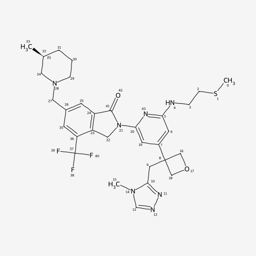 CSCCNc1cc(C2(Cc3nncn3C)COC2)cc(N2Cc3c(cc(CN4CCC[C@H](C)C4)cc3C(F)(F)F)C2=O)n1